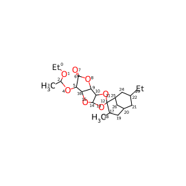 CCOC(C)OC1C(=O)OC2C3OC4(OC3OC12)C(C)CC1CC(CC)CC4C1